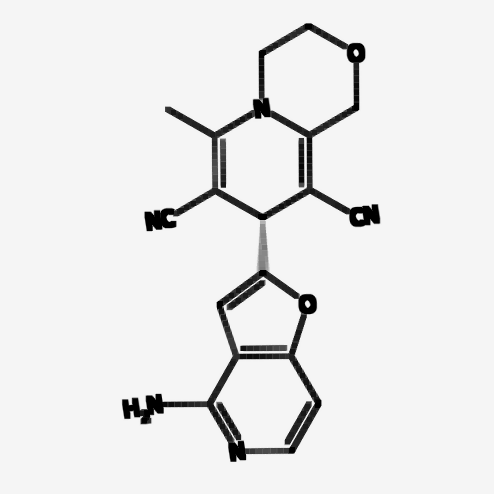 CC1=C(C#N)[C@@H](c2cc3c(N)nccc3o2)C(C#N)=C2COCCN12